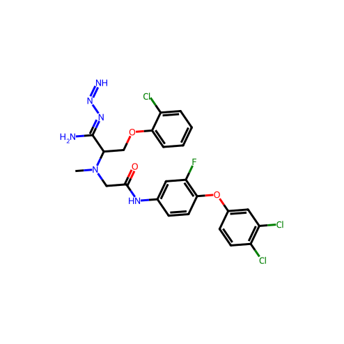 CN(CC(=O)Nc1ccc(Oc2ccc(Cl)c(Cl)c2)c(F)c1)C(COc1ccccc1Cl)/C(N)=N/N=N